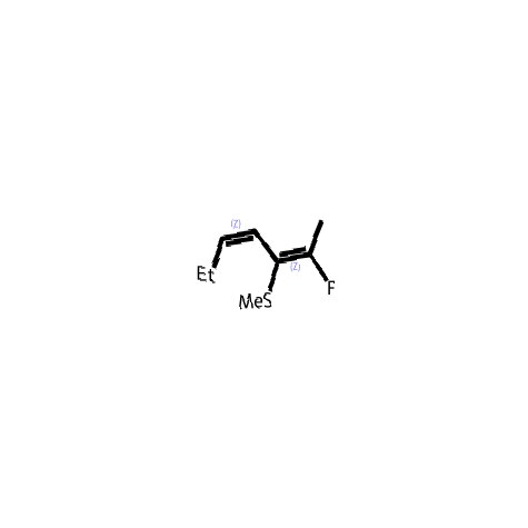 CC/C=C\C(SC)=C(/C)F